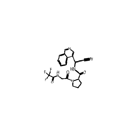 N#CC(NC(=O)C1CCCN1C(=O)CNC(=O)C(F)(F)F)c1cncc2ccccc12